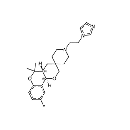 CC1(C)Oc2ccc(F)cc2[C@@H]2OCC3(CCN(CCn4ccnc4)CC3)C[C@H]21